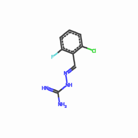 N=C(N)N/N=C/c1c(F)cccc1Cl